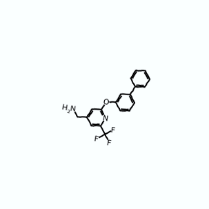 NCc1cc(Oc2cccc(-c3ccccc3)c2)nc(C(F)(F)F)c1